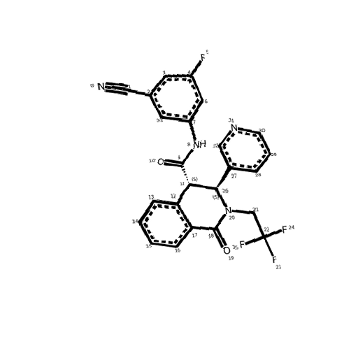 N#Cc1cc(F)cc(NC(=O)[C@H]2c3ccccc3C(=O)N(CC(F)(F)F)[C@@H]2c2cccnc2)c1